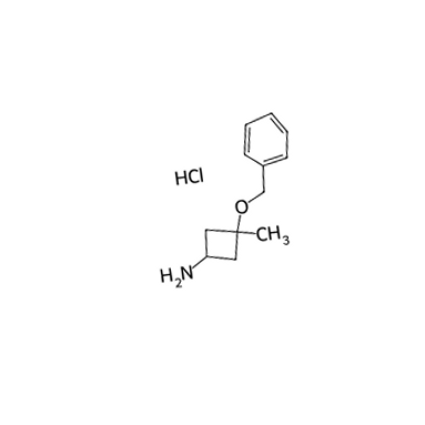 CC1(OCc2ccccc2)CC(N)C1.Cl